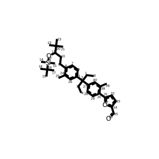 CCC(CC)(c1ccc(CCC(O[Si](C)(C)C(C)(C)C)C(C)(C)C)c(C)c1)c1ccc(-c2ccc(C=O)o2)c(C)c1